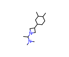 CC1CCC(C2CN(C(C)N(C)C)C2)CC1C